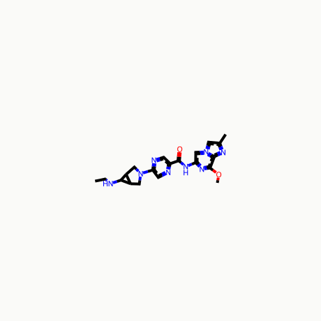 CCNC1C2CN(c3cnc(C(=O)Nc4cn5cc(C)nc5c(OC)n4)cn3)CC21